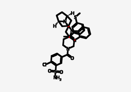 CSc1cccc(C2(CCN3[C@@H]4CC[C@H]3CC(n3c(C)nc5ccccc53)C4)CCN(C(=O)c3ccc(Cl)c(S(N)(=O)=O)c3)CC2)c1